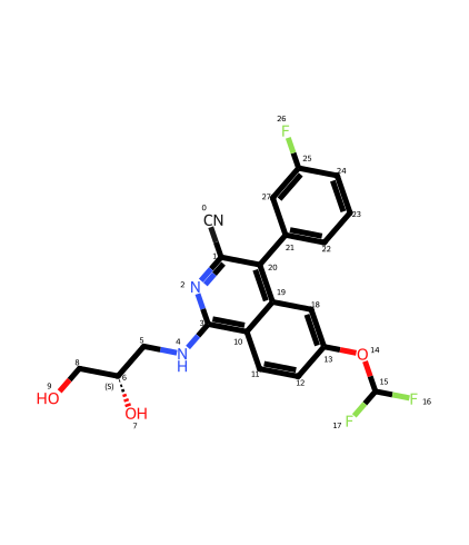 N#Cc1nc(NC[C@H](O)CO)c2ccc(OC(F)F)cc2c1-c1cccc(F)c1